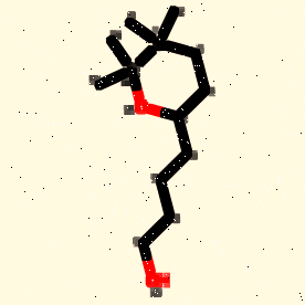 C[Si]1(C)CCC(CCCCO)O[Si]1(C)C